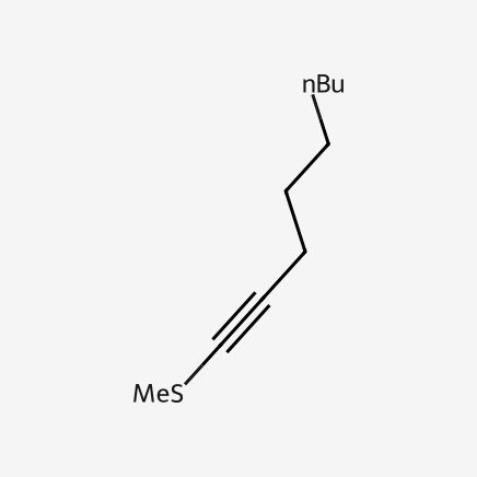 CCCCCCCC#CSC